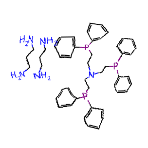 NCCCN.NCCCN.c1ccc(P(CCN(CCP(c2ccccc2)c2ccccc2)CCP(c2ccccc2)c2ccccc2)c2ccccc2)cc1